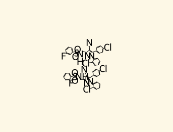 N#Cc1c(CNS(=O)(=O)c2cccc(F)c2)nn(-c2ccccc2Cl)c1-c1ccc(Cl)cc1.N#Cc1c(CNS(=O)(=O)c2ccccc2F)nn(-c2ccccc2Cl)c1-c1ccc(Cl)cc1